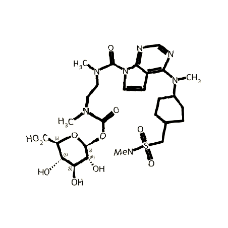 CNS(=O)(=O)CC1CCC(N(C)c2ncnc3c2ccn3C(=O)N(C)CCN(C)C(=O)O[C@@H]2O[C@H](C(=O)O)[C@@H](O)[C@H](O)[C@H]2O)CC1